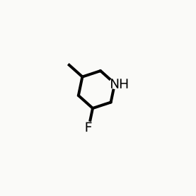 CC1CNCC(F)C1